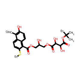 CCSc1ccc2c(C=O)c(O)ccc2c1C(=O)OCC(O)COC(=O)C(O)C(O)C(=O)OC(C)(C)CC